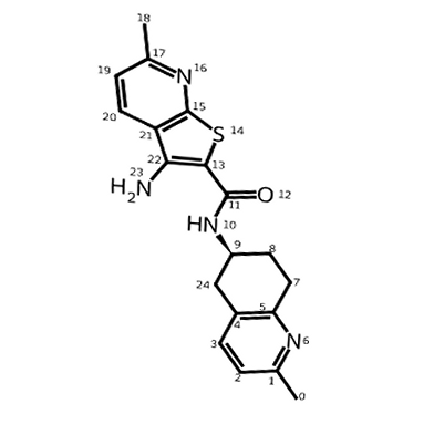 Cc1ccc2c(n1)CC[C@H](NC(=O)c1sc3nc(C)ccc3c1N)C2